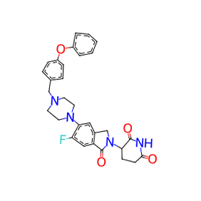 O=C1CCC(N2Cc3cc(N4CCN(Cc5ccc(Oc6ccccc6)cc5)CC4)c(F)cc3C2=O)C(=O)N1